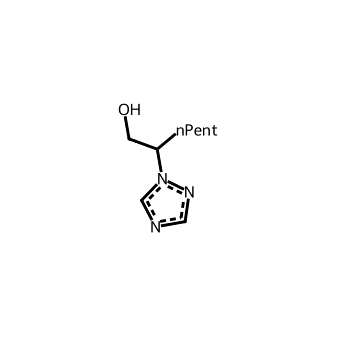 CCCCCC(CO)n1cncn1